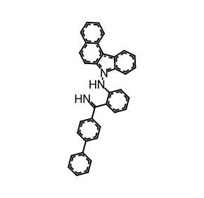 N=C(c1ccc(-c2ccccc2)cc1)c1ccccc1Nn1c2ccccc2c2c3ccccc3ccc21